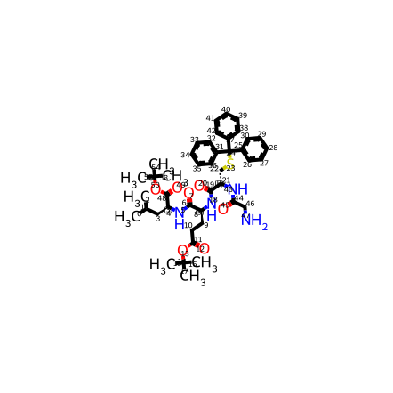 CC(C)C[C@H](NC(=O)[C@H](CCC(=O)OC(C)(C)C)NC(=O)[C@H](CSC(c1ccccc1)(c1ccccc1)c1ccccc1)NC(=O)CN)C(=O)OC(C)(C)C